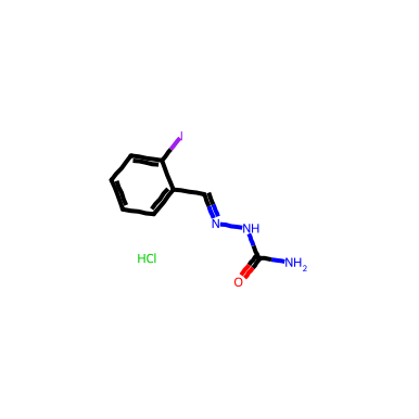 Cl.NC(=O)N/N=C/c1ccccc1I